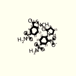 Cn1sc(=O)c2cc(S(N)(=O)=O)ccc21.NS(=O)(=O)c1ccc(N2CCCC2=O)c([N+](=O)[O-])c1